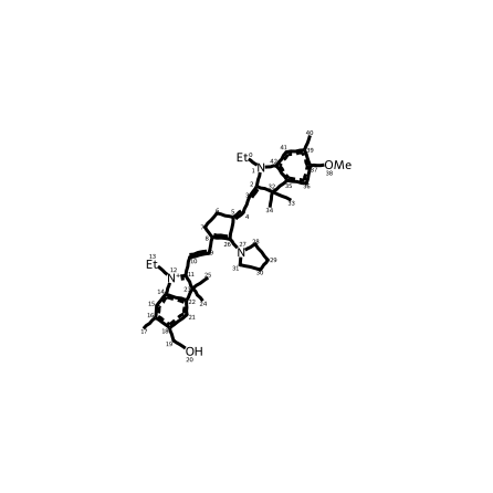 CCN1/C(=C/C=C2\CCC(/C=C/C3=[N+](CC)c4cc(C)c(CO)cc4C3(C)C)=C2N2CCCC2)C(C)(C)c2cc(OC)c(C)cc21